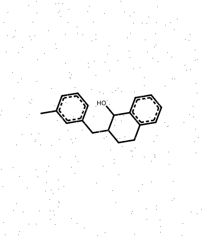 Cc1cccc(CC2CCc3ccccc3C2O)c1